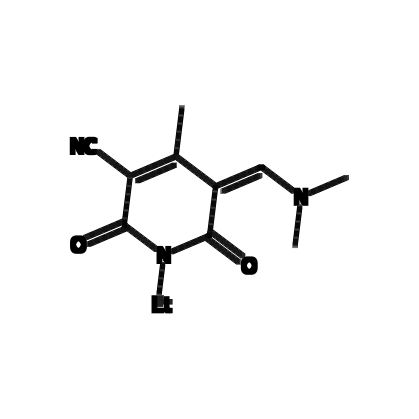 CCN1C(=O)C(C#N)=C(C)/C(=C/N(C)C)C1=O